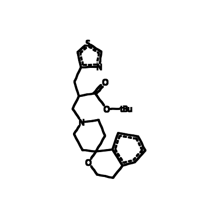 CC(C)(C)OC(=O)C(Cc1cscn1)CN1CCC2(CC1)OCCc1ccccc12